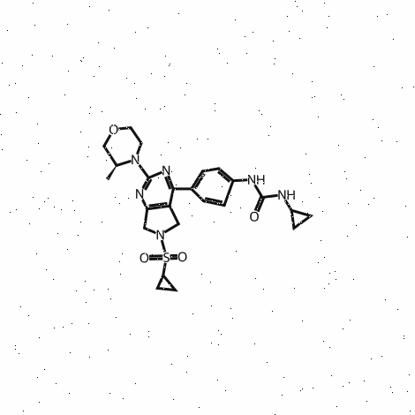 C[C@H]1COCCN1c1nc2c(c(-c3ccc(NC(=O)NC4CC4)cc3)n1)CN(S(=O)(=O)C1CC1)C2